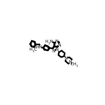 Cc1ccccc1CNc1ccc(-c2nn([C@H]3CC[C@H](N4CCN(C)CC4)CC3)c3ncnc(N)c23)cc1